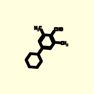 Cc1cc(C2CCCCC2)cc(C)c1C=O